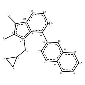 Cc1c(C)n(CC2CC2)c2c(-c3ccc4ccccc4c3)nccc12